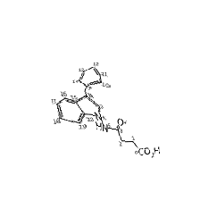 O=C(O)CCC(=O)Nn1cc(-c2ccccc2)c2ccccc21